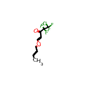 CCCCOC=CC(=O)C(F)(F)C(F)(F)Cl